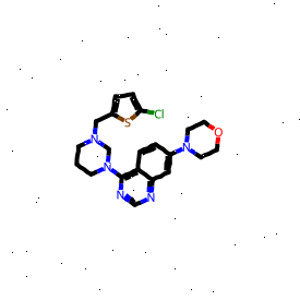 Clc1ccc(CN2CCCN(c3ncnc4cc(N5CCOCC5)ccc34)C2)s1